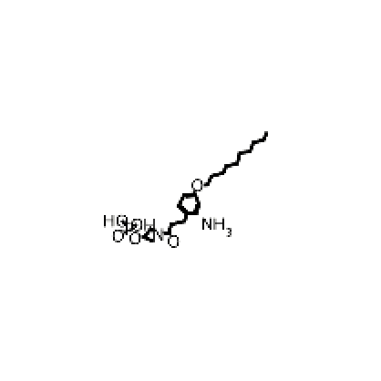 CCCCCCCCCCOc1ccc(CCC(=O)N2CC(OP(=O)(O)O)C2)cc1.N